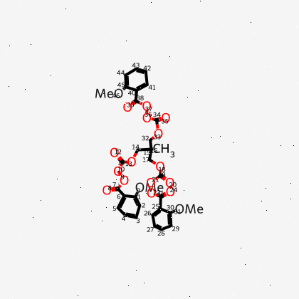 COc1ccccc1C(=O)OOC(=O)OCC(C)(COC(=O)OOC(=O)c1ccccc1OC)COC(=O)OOC(=O)c1ccccc1OC